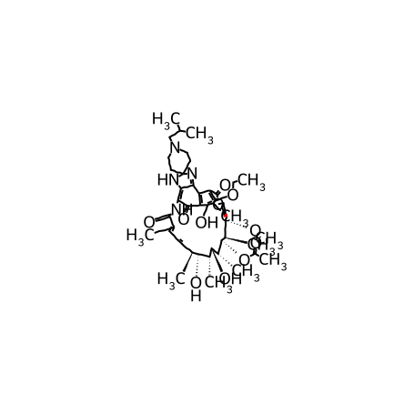 CCOc1c(C)c(O)c2c3c1C(=O)O/C=C/[C@H](OC)[C@@H](C)[C@@H](OC(C)=O)[C@H](C)[C@H](O)[C@H](C)[C@@H](O)[C@@H](C)/C=C/C=C(/C)C(=O)NC(=C1NC4(CCN(CC(C)C)CC4)N=C13)C2=O